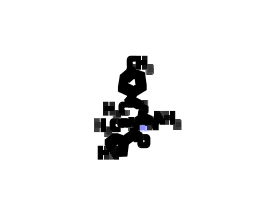 C=C(S/C(=N\N)N(CC)C(=O)c1cc[nH]c1)c1ccc(C)cc1